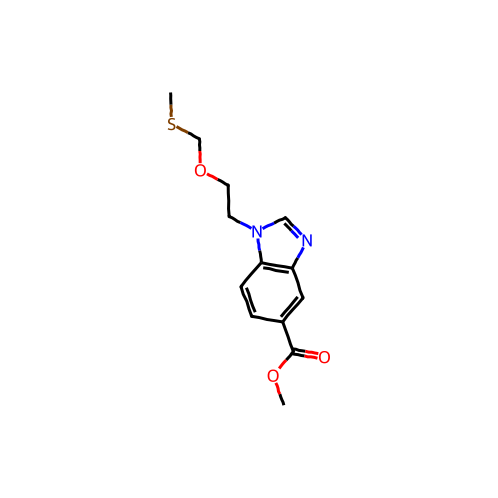 COC(=O)c1ccc2c(c1)ncn2CCOCSC